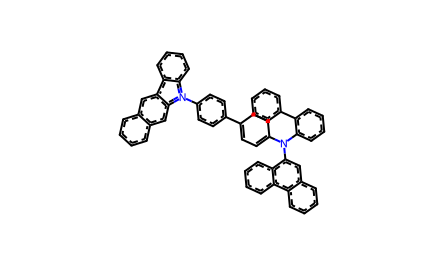 C1=C(c2ccc(-n3c4ccccc4c4cc5ccccc5cc43)cc2)CCC(N(c2ccccc2-c2ccccc2)c2cc3ccccc3c3ccccc23)=C1